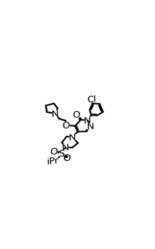 CC(C)S(=O)(=O)N1CCN(c2cnn(-c3cccc(Cl)c3)c(=O)c2OCCN2CCCC2)CC1